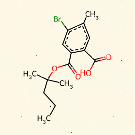 CCCC(C)(C)OC(=O)c1cc(Br)c(C)cc1C(=O)O